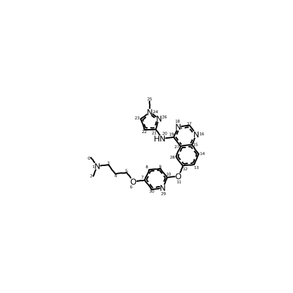 CN(C)CCCOc1ccc(Oc2ccc3ncnc(Nc4ccn(C)n4)c3c2)nc1